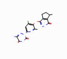 Cc1nc(-n2nc(N)c(=O)[nH]c2=O)cc(Cl)c1Oc1n[nH]c(=O)c2c1CCC2C